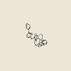 O=C(Cc1csc(-c2ccccc2)n1)N1CC[C@@](O)(c2ccccc2)[C@@H]2CCCC[C@H]21